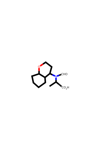 CC(C(=O)O)N(C=O)C1CCOC2CCCCC21